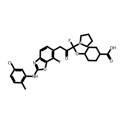 Cc1ccc(Cl)cc1Nc1nc2ccc(CC(=O)C(F)(OC3CCC(C(=O)O)CC3)N3CCCC3)c(F)c2o1